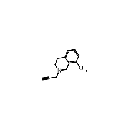 C#CCN1CCc2cccc(C(F)(F)F)c2C1